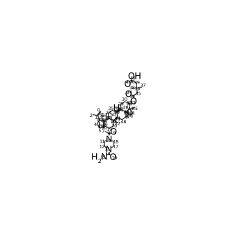 C=C(C)[C@@H]1CC[C@]2(CC(=O)N3CCN(C(N)=O)CC3)CC[C@]3(C)[C@H](CC[C@@H]4[C@@]5(C)CC[C@H](OC(=O)CC(C)(C)CC(=O)O)C(C)(C)[C@@H]5CC[C@]43C)[C@@H]12